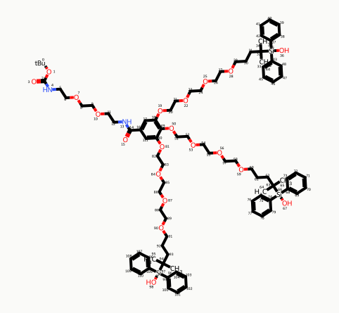 CC(C)(C)OC(=O)NCCOCCOCCNC(=O)c1cc(OCCOCCOCCOCCCC(C)(C)[Si](O)(c2ccccc2)c2ccccc2)c(OCCOCCOCCOCCCC(C)(C)[Si](O)(c2ccccc2)c2ccccc2)c(OCCOCCOCCOCCCC(C)(C)[Si](O)(c2ccccc2)c2ccccc2)c1